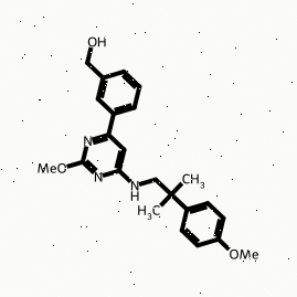 COc1ccc(C(C)(C)CNc2cc(-c3cccc(CO)c3)nc(OC)n2)cc1